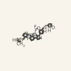 C[C@H](O)CNCc1ccnc(Nc2cccc(-c3ccnc(-c4ccc(CNC[C@H]5CCC(=O)N5)c(OC(F)F)c4)c3Cl)c2Cl)c1F